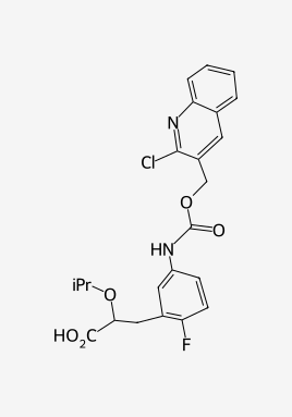 CC(C)OC(Cc1cc(NC(=O)OCc2cc3ccccc3nc2Cl)ccc1F)C(=O)O